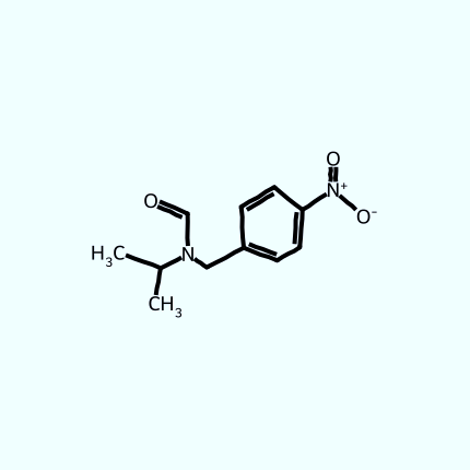 CC(C)N(C=O)Cc1ccc([N+](=O)[O-])cc1